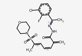 C=C(/C=C\C=C(/C)S(=O)(=O)N1CCOCC1)C(=O)N/N=C(\C)c1cccc(Cl)c1F